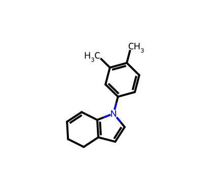 Cc1ccc(-n2ccc3c2C=CCC3)cc1C